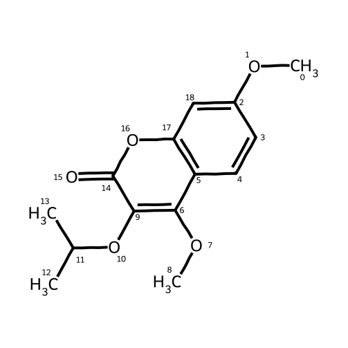 COc1ccc2c(OC)c(OC(C)C)c(=O)oc2c1